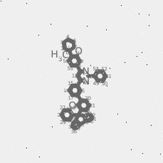 CC12C=CC=CC1Oc1cc(-c3cc(-c4cccc(-c5cccc6c5Oc5ccccc5C65c6ccccc6-c6ccccc65)c4)nc(-c4ccccc4)n3)ccc12